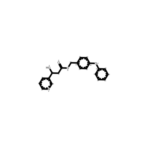 O=C(CC(O)c1cccnc1)OCc1ccc(Oc2ccccc2)cc1